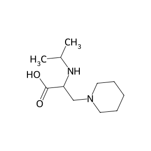 CC(C)NC(CN1CCCCC1)C(=O)O